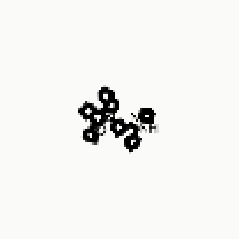 c1ccc(C2Nc3ccccc3N=C2c2cccc(-n3c4ccc5ccccc5c4c4c5ccccc5c5c6ccccc6oc5c43)c2)cc1